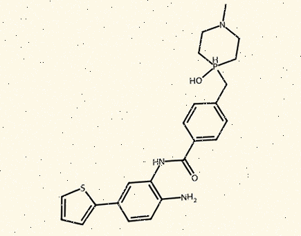 CN1CC[PH](O)(Cc2ccc(C(=O)Nc3cc(-c4cccs4)ccc3N)cc2)CC1